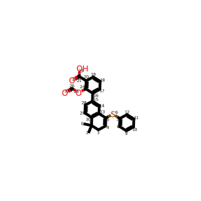 CC1(C)CC=C(Sc2ccccc2)c2cc(-c3cccc(C(=O)O)c3OC=O)ccc21